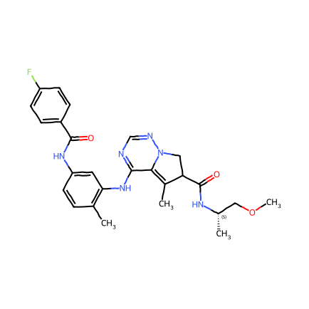 COC[C@H](C)NC(=O)C1CN2N=CN=C(Nc3cc(NC(=O)c4ccc(F)cc4)ccc3C)C2=C1C